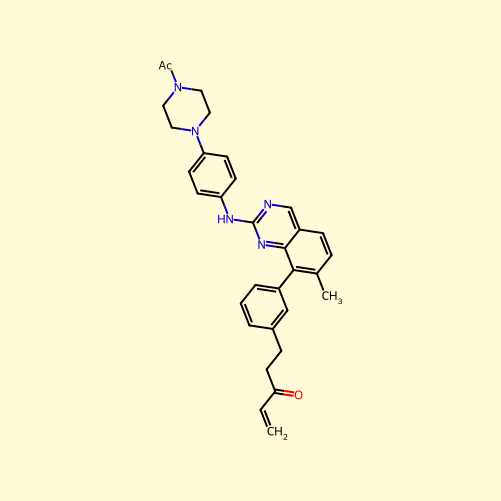 C=CC(=O)CCc1cccc(-c2c(C)ccc3cnc(Nc4ccc(N5CCN(C(C)=O)CC5)cc4)nc23)c1